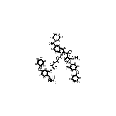 C[Si](C)(C)CCOCn1c(C(=O)c2cnn(-c3ccc(Oc4ccccc4)cc3F)c2N)cc2cc(C(=O)N3CCOCC3)ccc21.NNc1ccc(Oc2ccccc2)cc1F